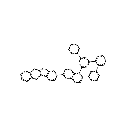 c1ccc(-c2nc(-c3ccccc3-c3ccccc3)nc(-c3cccc4cc(-c5ccc6c(c5)oc5cc7ccccc7cc56)ccc34)n2)cc1